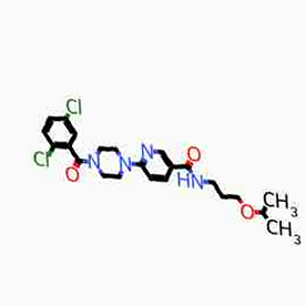 CC(C)OCCCNC(=O)c1ccc(N2CCN(C(=O)c3cc(Cl)ccc3Cl)CC2)nc1